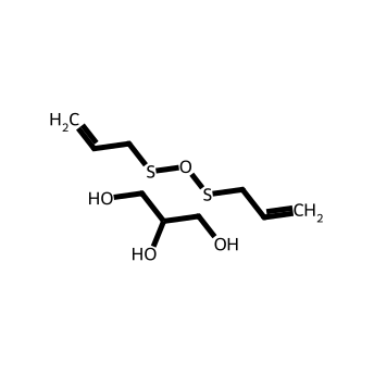 C=CCSOSCC=C.OCC(O)CO